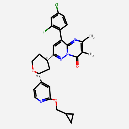 Cc1nc2c(-c3ccc(Cl)cc3F)cc([C@H]3CCO[C@@H](c4ccnc(OCC5CC5)c4)C3)nn2c(=O)c1C